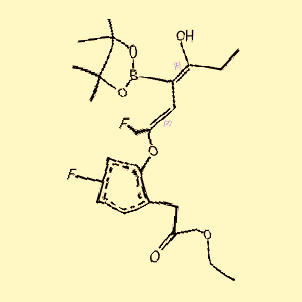 CCOC(=O)Cc1ccc(F)cc1O/C(F)=C/C(B1OC(C)(C)C(C)(C)O1)=C(/O)CC